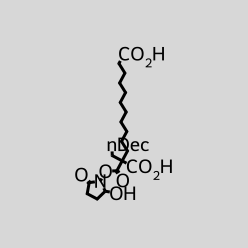 CCCCCCCCCCCC(CCCCCCCCCCC(=O)O)(C(=O)O)C(=O)ON1C(=O)CCC1O